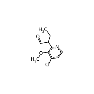 CCC(C=O)c1nccc(Cl)c1OC